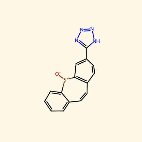 [O-][S+]1c2ccccc2C=Cc2ccc(-c3nnn[nH]3)cc21